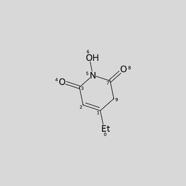 CCC1=CC(=O)N(O)C(=O)C1